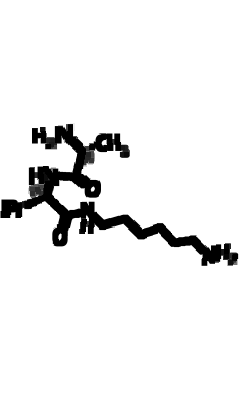 CC(C)[C@@H](NC(=O)[C@@H](C)N)C(=O)NCCCCCCN